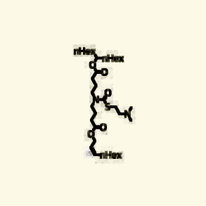 CCCCCC/C=C\COC(=O)CCCN(CCCC(=O)OC(CCCCCC)CCCCCC)C(=O)SCCN(C)C